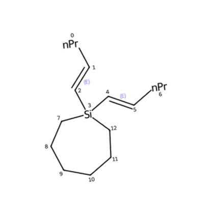 CCC/C=C/[Si]1(/C=C/CCC)CCCCCC1